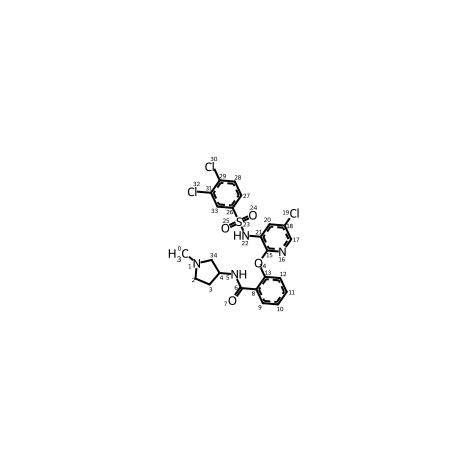 CN1CCC(NC(=O)c2ccccc2Oc2ncc(Cl)cc2NS(=O)(=O)c2ccc(Cl)c(Cl)c2)C1